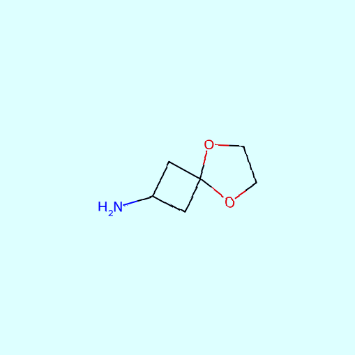 NC1CC2(C1)OCCO2